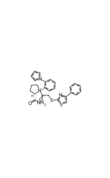 NC(=O)[C@@H]1CCC[N+]1(C(=O)CSc1nc(-c2ccccc2)cs1)c1ccccc1-n1cccc1